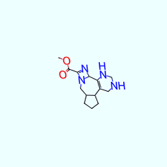 COC(=O)C1=NC2C3=C(CNCN3)C3CCCC3CN12